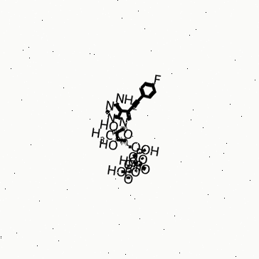 C[C@@]1(O)[C@H](O)[C@@H](COP(=O)(O)OP(=O)(O)OP(=O)(O)O)O[C@H]1n1cc(C#Cc2ccc(F)cc2)c2c(N)ncnc21